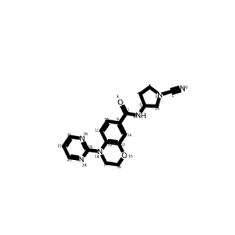 N#CN1CCC(NC(=O)c2ccc3c(c2)OCCN3c2ncccn2)C1